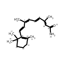 CC(C=C/C=C(/C)C=CC1=C(C)CCCC1(C)C)=CC(N)=O